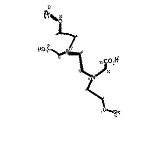 CC(C)OCCN(CCN(CCOC(C)C)CC(=O)O)CC(=O)O